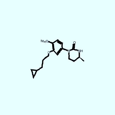 COc1ccc(N2CC[C@H](C)NC2=O)cc1OCCCC1CC1